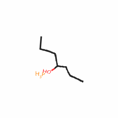 CCCC(O)CCC.P